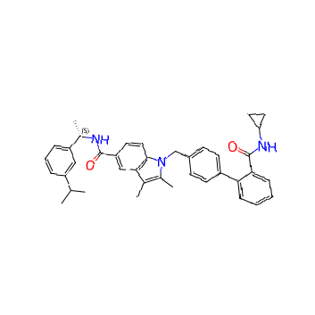 Cc1c(C)n(Cc2ccc(-c3ccccc3C(=O)NC3CC3)cc2)c2ccc(C(=O)N[C@@H](C)c3cccc(C(C)C)c3)cc12